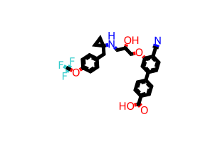 N#Cc1ccc(-c2ccc(C(=O)O)cc2)cc1OCC(O)CNC1(Cc2ccc(OC(F)(F)F)cc2)CC1